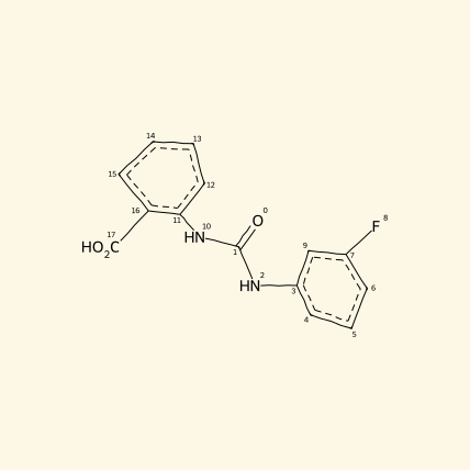 O=C(Nc1cccc(F)c1)Nc1ccccc1C(=O)O